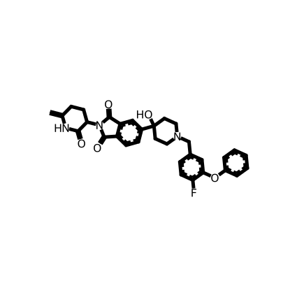 C=C1CCC(N2C(=O)c3ccc(C4(O)CCN(Cc5ccc(F)c(Oc6ccccc6)c5)CC4)cc3C2=O)C(=O)N1